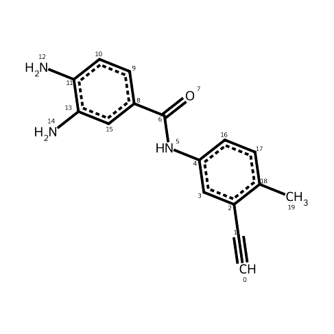 C#Cc1cc(NC(=O)c2ccc(N)c(N)c2)ccc1C